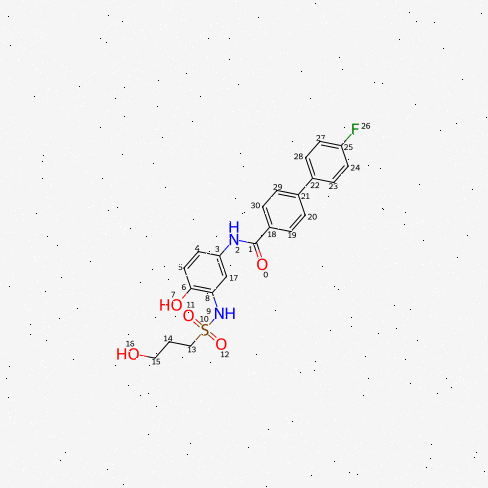 O=C(Nc1ccc(O)c(NS(=O)(=O)CCCO)c1)c1ccc(-c2ccc(F)cc2)cc1